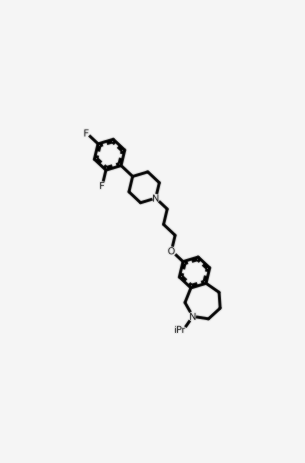 CC(C)N1CCCc2ccc(OCCCN3CCC(c4ccc(F)cc4F)CC3)cc2C1